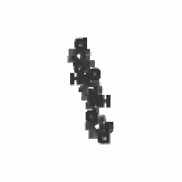 O=C(NC1CCN(NCCOc2ccc(Cl)c(F)c2)CC1)C1Cc2cc(Cl)ccc2O1